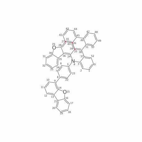 c1ccc(N(c2ccc(-c3cccc4c3oc3ccccc34)cc2)c2cccc3oc4ccccc4c23)c(-c2cc3ccccc3c3ccccc23)c1